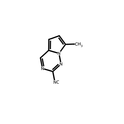 [C-]#[N+]c1ncc2ccc(C)n2n1